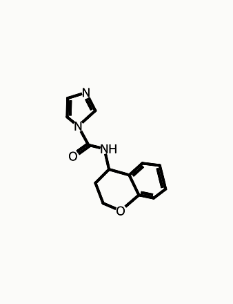 O=C(NC1CCOc2ccccc21)n1ccnc1